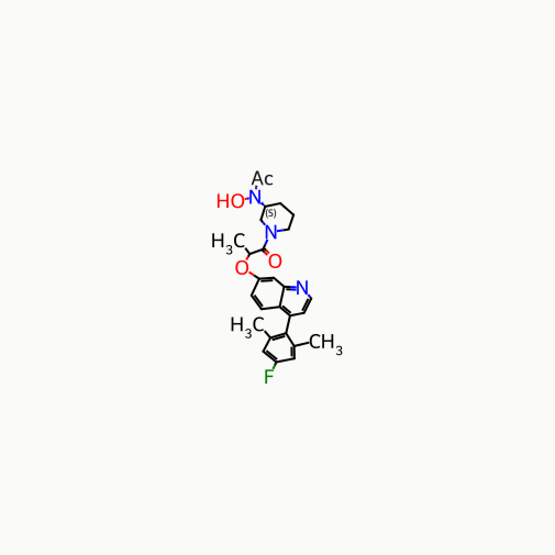 CC(=O)N(O)[C@H]1CCCN(C(=O)C(C)Oc2ccc3c(-c4c(C)cc(F)cc4C)ccnc3c2)C1